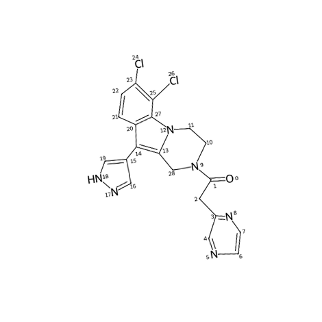 O=C(Cc1cnccn1)N1CCn2c(c(-c3cn[nH]c3)c3ccc(Cl)c(Cl)c32)C1